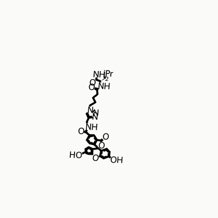 CC(C)C[C@H](NC(=O)CCCCn1cc(CNC(=O)c2ccc3c(c2)C(=O)OC32c3ccc(O)cc3Oc3cc(O)ccc32)nn1)C(N)=O